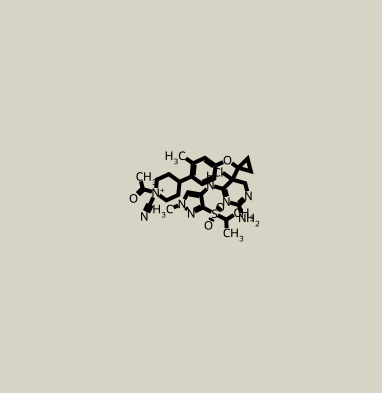 CC(=O)[N+]1(C#N)CCC(c2ccc(OC3(C4(Cl)CN=C(N)N=C4Nc4cn(C)nc4S(=O)(=O)C(C)C)CC3)cc2C)CC1